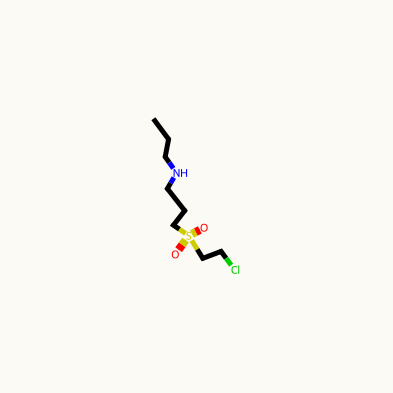 CCCNCCCS(=O)(=O)CCCl